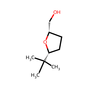 CC(C)(C)[C@H]1CC[C@@H](CO)O1